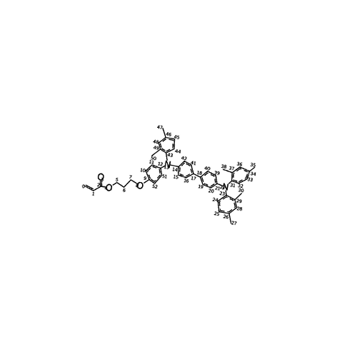 C=CC(=O)OCCCOc1ccc(N(c2ccc(-c3ccc(N(c4ccc(C)cc4C)c4ccc(C)cc4C)cc3)cc2)c2ccc(C)cc2C)cc1